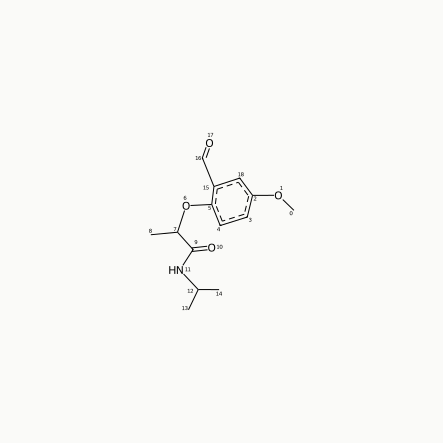 COc1ccc(OC(C)C(=O)NC(C)C)c(C=O)c1